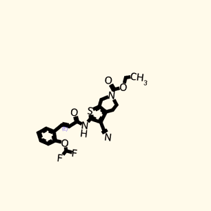 CCOC(=O)N1CCc2c(sc(NC(=O)/C=C/c3ccccc3OC(F)F)c2C#N)C1